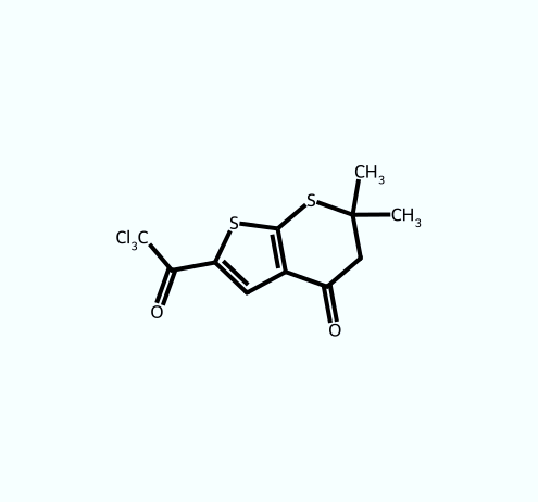 CC1(C)CC(=O)c2cc(C(=O)C(Cl)(Cl)Cl)sc2S1